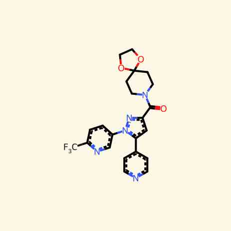 O=C(c1cc(-c2ccncc2)n(-c2ccc(C(F)(F)F)nc2)n1)N1CCC2(CC1)OCCO2